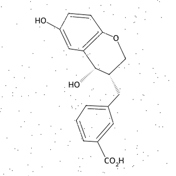 O=C(O)c1cccc(C[C@H]2COc3ccc(O)cc3[C@H]2O)c1